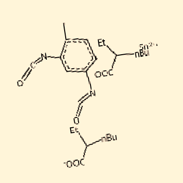 CCCCC(CC)C(=O)[O-].CCCCC(CC)C(=O)[O-].Cc1ccc(N=C=O)cc1N=C=O.[Sn+2]